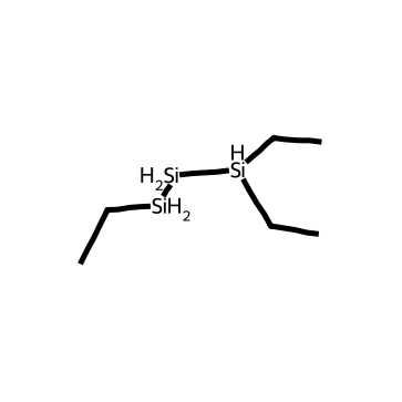 CC[SiH2][SiH2][SiH](CC)CC